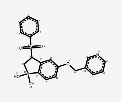 O=S(=O)(c1ccccc1)C1CS(O)(O)c2ccc(OCc3cccnc3)cc21